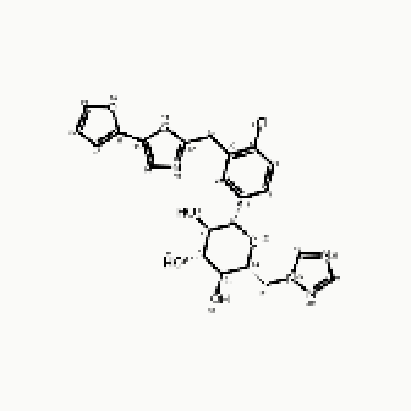 O[C@@H]1[C@@H](O)[C@H](c2ccc(Cl)c(Cc3ncc(-c4ccco4)s3)c2)O[C@H](Cn2cncn2)[C@H]1O